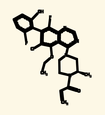 C=CC(=O)N1CCN(c2ncnc3c(F)c(-c4c(O)cccc4F)c(Cl)c(OCC)c23)C[C@H]1C